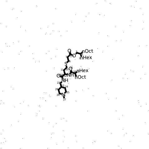 CCCCCCCCC(CCCCCC)COC(=O)CCSCCC(NC(=O)C(CCCCCC)CCCCCCCC)C(=O)NCC1CCN(C)CC1